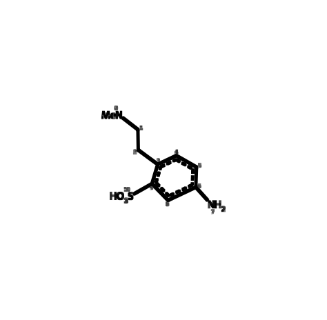 CNCCc1ccc(N)cc1S(=O)(=O)O